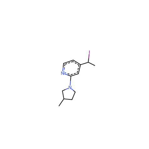 CC1CCN(c2cc(C(C)I)ccn2)C1